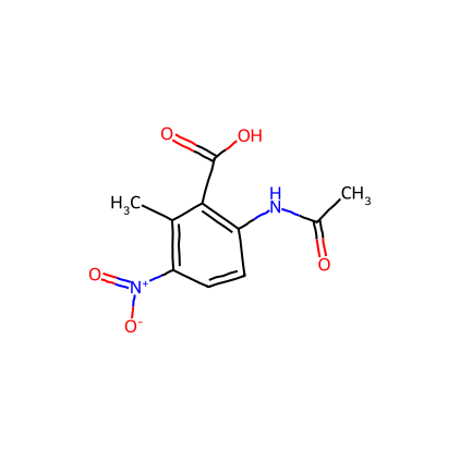 CC(=O)Nc1ccc([N+](=O)[O-])c(C)c1C(=O)O